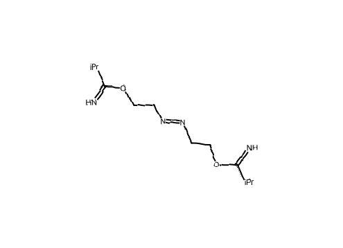 CC(C)C(=N)OCCN=NCCOC(=N)C(C)C